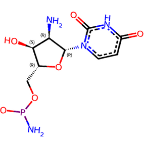 N[C@@H]1[C@H](O)[C@@H](COP(N)O)O[C@H]1n1ccc(=O)[nH]c1=O